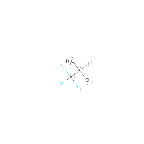 C[Si](C)(I)C(F)(F)F